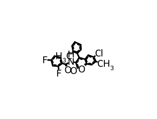 Cc1cc2oc(=O)c(NC(=O)c3ccc(F)cc3F)c(-c3ccccc3C)c2cc1Cl